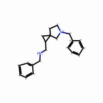 c1ccc(CNCC2CC23CCN(Cc2ccccc2)C3)cc1